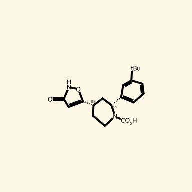 CC(C)(C)c1cccc([C@H]2C[C@@H](c3cc(=O)[nH]o3)CCN2C(=O)O)c1